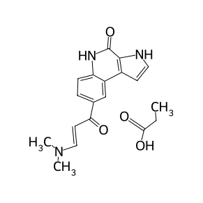 CCC(=O)O.CN(C)C=CC(=O)c1ccc2[nH]c(=O)c3[nH]ccc3c2c1